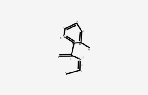 C=C(/N=C\C)c1ncccc1C